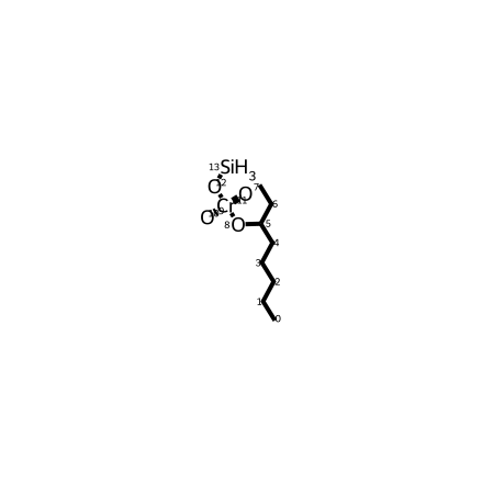 CCCCCC(CC)[O][Cr](=[O])(=[O])[O][SiH3]